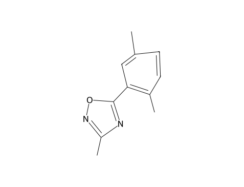 Cc1ccc(C)c(-c2nc(C)no2)c1